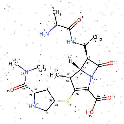 CC(N)C(=O)NC(C)[C@H]1C(=O)N2C(C(=O)O)=C(S[C@@H]3CN[C@H](C(=O)N(C)C)C3)[C@H](C)[C@H]12